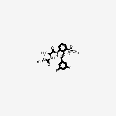 CC(NC(=O)OC(C)(C)C)C(=O)Nc1cccc(S(C)(=O)=O)c1NCc1cc(F)cc(F)c1